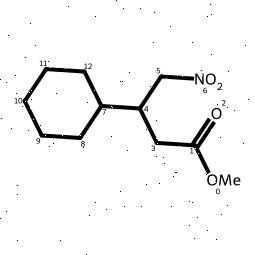 COC(=O)CC(C[N+](=O)[O-])C1CCCCC1